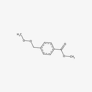 COOCc1ccc(C(=O)OC)cc1